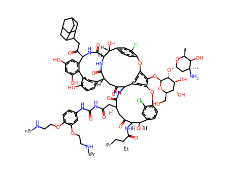 CCCNCCOc1ccc(NC(=O)NC(=O)C[C@@H]2CC(=O)[C@H](NC(=O)[C@H](CC)CC(C)C)[C@H](O)c3ccc(c(Cl)c3)Oc3cc4cc(c3O[C@@H]3O[C@H](CO)[C@@H](O)[C@H](O)[C@H]3O[C@H]3C[C@](C)(N)[C@H](O)[C@H](C)O3)Oc3ccc(cc3Cl)[C@@H](O)[C@@H]3NC(=O)[C@H](CC(=O)[C@@H]4NC2=O)c2ccc(O)c(c2)-c2c(O)cc(O)cc2[C@@H](C(=O)CC2C4CC5CC(C4)CC2C5)NC3=O)cc1OCCNCCC